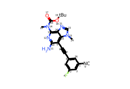 [C-]#[N+]c1cc(F)cc(C#Cc2c(N)nc(N(C)C(=O)OC(C)(C)C)c3ncn(C)c23)c1